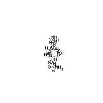 C[C@@]12COP(=O)(S)O[C@H]3C[C@@H](COP(=O)(S)O[C@H]1C[C@H](n1cnc4c(N)ncnc41)O2)O[C@H]3n1cnc2c(=O)[nH]c(N)nc21